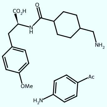 CC(=O)c1ccc(N)cc1.COc1ccc(C[C@H](NC(=O)C2CCC(CN)CC2)C(=O)O)cc1